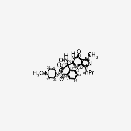 CCCc1nn(C)c2c(=O)[nH]c(C3(c4ccccc4S(=O)(=O)N4CCN(C)CC4)COON3)nc12